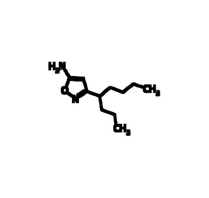 CCCCC(CCC)c1cc(N)on1